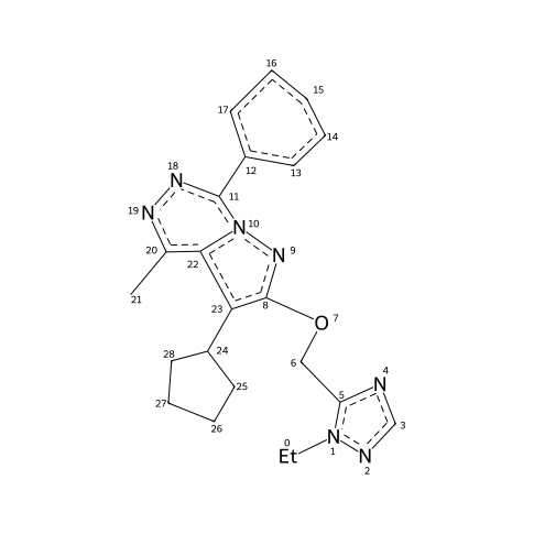 CCn1ncnc1COc1nn2c(-c3ccccc3)nnc(C)c2c1C1CCCC1